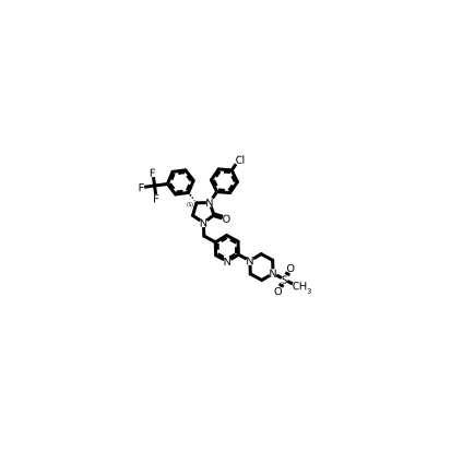 CS(=O)(=O)N1CCN(c2ccc(CN3C[C@H](c4cccc(C(F)(F)F)c4)N(c4ccc(Cl)cc4)C3=O)cn2)CC1